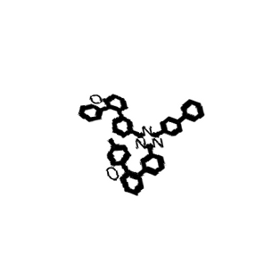 Cc1ccc2c(c1)oc1cccc(-c3cccc(-c4nc(-c5ccc(-c6ccccc6)cc5)nc(-c5cccc(-c6cccc7oc8ccccc8c67)c5)n4)c3)c12